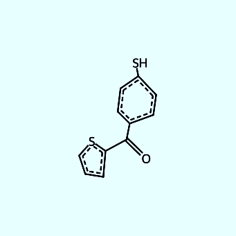 O=C(c1ccc(S)cc1)c1cccs1